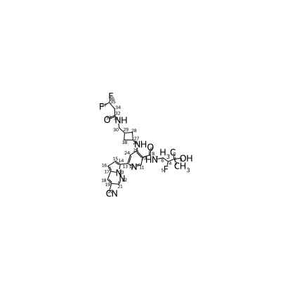 CC(C)(O)C(F)CNC(=O)c1cnc(-c2ccc3cc(C#N)cnn23)cc1NC1CC(CNC(=O)CC(F)F)C1